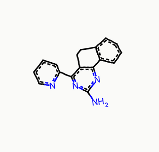 Nc1nc(-c2ccccn2)c2c(n1)-c1ccccc1CC2